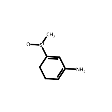 C[S+]([O-])C1=CC(N)=CCC1